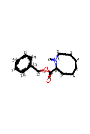 CN1CCCCCCC1C(=O)OCc1ccccc1